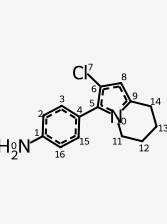 Nc1ccc(-c2c(Cl)cc3n2CCCC3)cc1